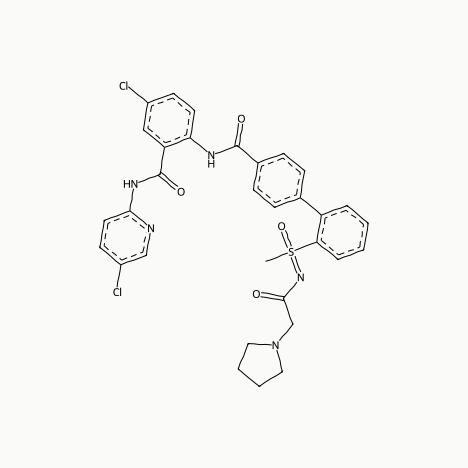 CS(=O)(=NC(=O)CN1CCCC1)c1ccccc1-c1ccc(C(=O)Nc2ccc(Cl)cc2C(=O)Nc2ccc(Cl)cn2)cc1